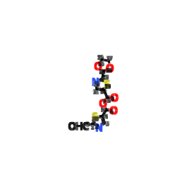 O=Cc1ncc(C(=O)OC(=O)c2cnc(C3OCCO3)s2)s1